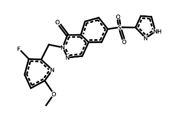 COc1ccc(F)c(Cn2ncc3cc(S(=O)(=O)c4cc[nH]n4)ccc3c2=O)n1